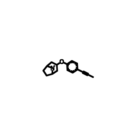 CC#Cc1ccc(OC2CC3CCC(C2)N3C)cc1